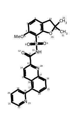 COc1ccc2c(c1S(=O)(=O)NC(=O)c1ccc3c(-c4ccccn4)cccc3n1)OC(C)(C)C2